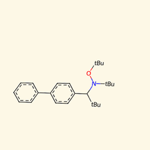 CC(C)(C)ON(C(c1ccc(-c2ccccc2)cc1)C(C)(C)C)C(C)(C)C